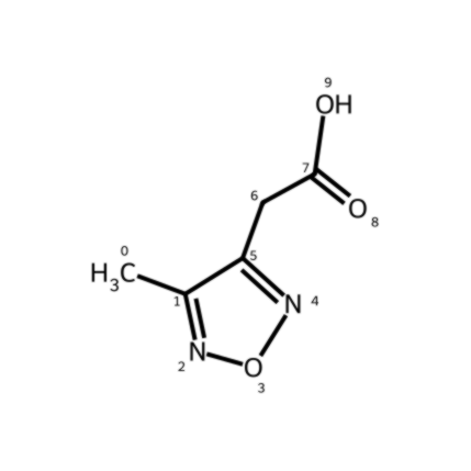 Cc1nonc1CC(=O)O